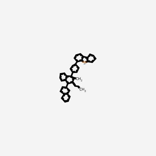 C=C/C=c1/c(-c2ccc3ccccc3c2)c2ccccc2c(-c2ccc(-c3cccc4c3sc3ccccc34)cc2)c1=C